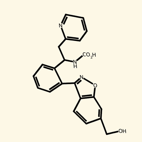 O=C(O)NC(Cc1ccccn1)c1ccccc1-c1noc2cc(CO)ccc12